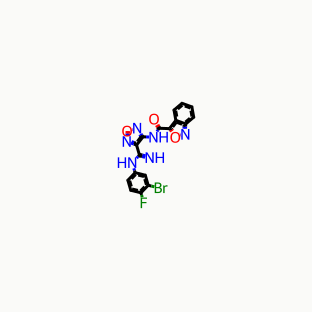 N=C(Nc1ccc(F)c(Br)c1)c1nonc1NC(=O)c1onc2ccccc12